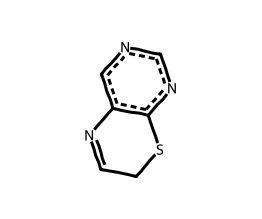 C1=Nc2cncnc2SC1